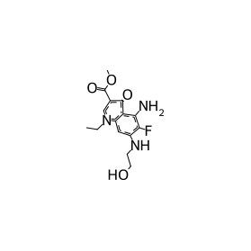 CCn1cc(C(=O)OC)c(=O)c2c(N)c(F)c(NCCO)cc21